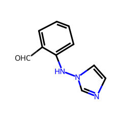 O=Cc1ccccc1Nn1ccnc1